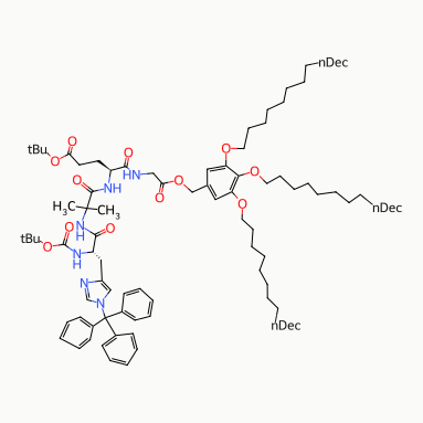 CCCCCCCCCCCCCCCCCCOc1cc(COC(=O)CNC(=O)[C@H](CCC(=O)OC(C)(C)C)NC(=O)C(C)(C)NC(=O)[C@H](Cc2cn(C(c3ccccc3)(c3ccccc3)c3ccccc3)cn2)NC(=O)OC(C)(C)C)cc(OCCCCCCCCCCCCCCCCCC)c1OCCCCCCCCCCCCCCCCCC